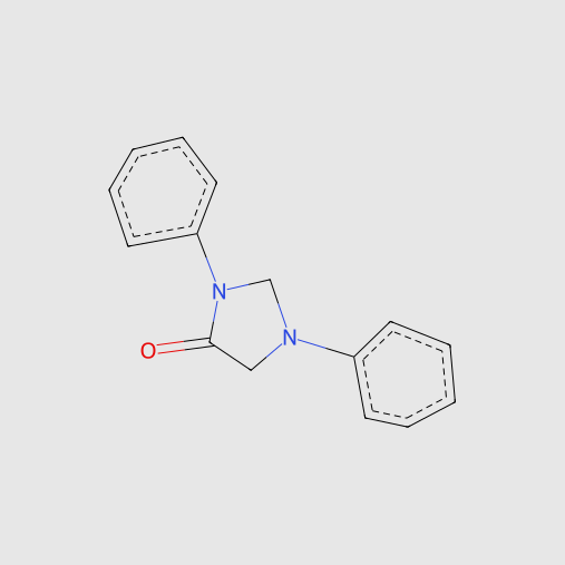 O=C1CN(c2ccccc2)CN1c1ccccc1